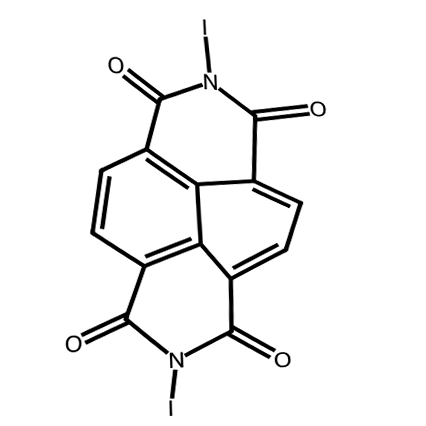 O=C1c2ccc3c4c(ccc(c24)C(=O)N1I)C(=O)N(I)C3=O